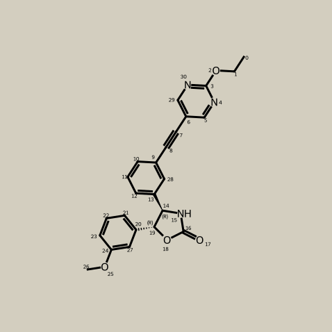 CCOc1ncc(C#Cc2cccc([C@H]3NC(=O)O[C@@H]3c3cccc(OC)c3)c2)cn1